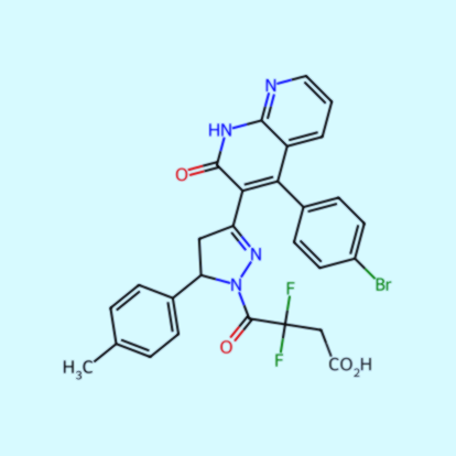 Cc1ccc(C2CC(c3c(-c4ccc(Br)cc4)c4cccnc4[nH]c3=O)=NN2C(=O)C(F)(F)CC(=O)O)cc1